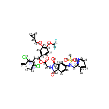 C=C/C(Cl)=C(C[C@H](OC(=O)CN1C(=O)c2ccc(N(Cc3ncccc3C)S(C)(=O)=O)cc2C1=O)c1ccc(OC(F)F)c(OCC2CC2)c1)\C(Cl)=C/C